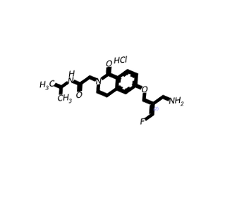 CC(C)NC(=O)CN1CCc2cc(OC/C(=C\F)CN)ccc2C1=O.Cl